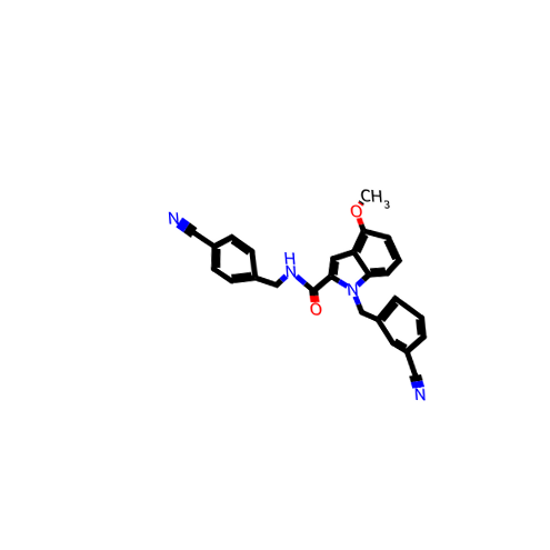 COc1cccc2c1cc(C(=O)NCc1ccc(C#N)cc1)n2Cc1cccc(C#N)c1